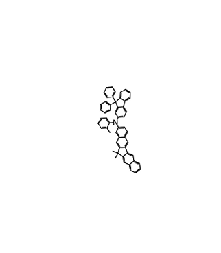 Cc1ccccc1N(c1ccc2c(c1)C(c1ccccc1)(c1ccccc1)c1ccccc1-2)c1ccc2cc3c(cc2c1)C(C)(C)c1cc2ccccc2cc1-3